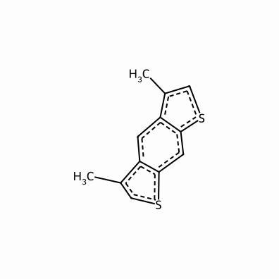 Cc1csc2cc3scc(C)c3cc12